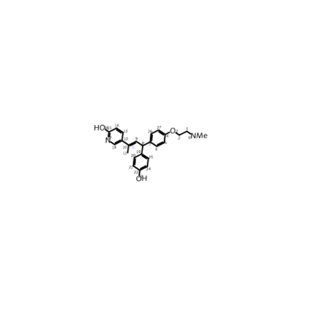 CNCCOc1ccc(C(/C=C(\C)c2ccc(O)nc2)c2ccc(O)cc2)cc1